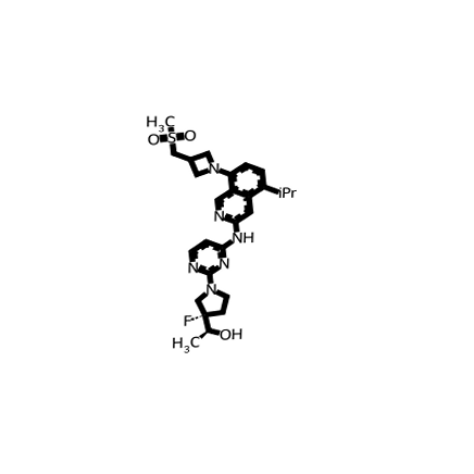 CC(C)c1ccc(N2CC(CS(C)(=O)=O)C2)c2cnc(Nc3ccnc(N4CC[C@@](F)([C@H](C)O)C4)n3)cc12